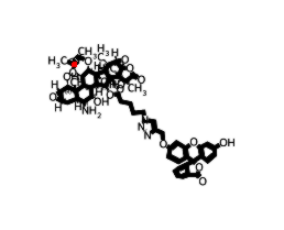 CC(=O)O[C@H]1C2C([C@@H](O)[C@@H](N)[C@H]3C[C@@H]4O[C@@H]4[C@H](O)[C@]23C)[C@@H]2[C@H](OC(=O)CCCCn3cc(COc4ccc5c(c4)Oc4cc(O)ccc4C54OC(=O)c5ccccc54)nn3)[C@@H]3[C@H]([C@H](C)[C@H]4O[C@]45OC(=O)[C@@](C)(O)[C@]35C)[C@@]2(C)[C@H]1OC(C)=O